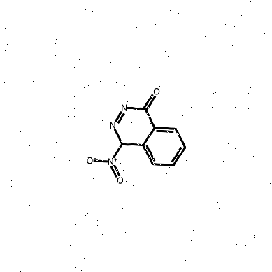 O=C1N=NC([N+](=O)[O-])c2ccccc21